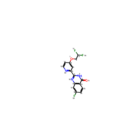 O=c1[nH]c(-c2cc(OCC(F)F)ccn2)nc2cc(F)ccc12